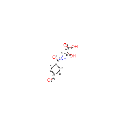 O=Cc1ccc(C(=O)NCC(O)C(=O)O)cc1